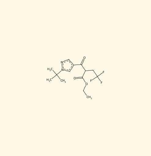 CCOC(=O)C(CC(F)(F)F)C(=O)c1cnn(C(C)(C)C)c1